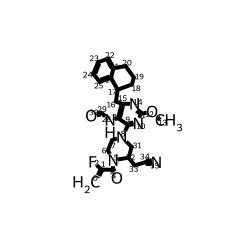 C=C(F)C(=O)N1CCN(c2nc(OC)nc(CC3CCCc4ccccc43)c2NC=O)CC1CC#N